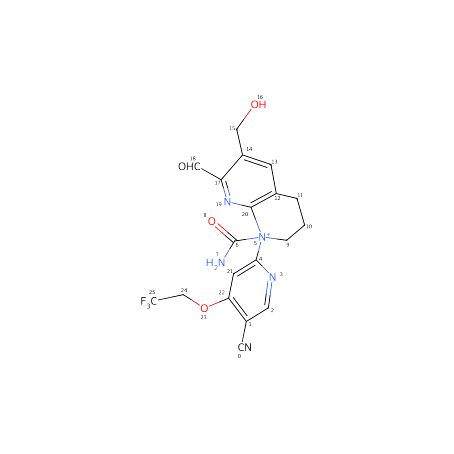 N#Cc1cnc([N+]2(C(N)=O)CCCc3cc(CO)c(C=O)nc32)cc1OCC(F)(F)F